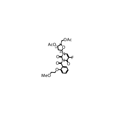 COCCOc1ccccc1C(=O)n1c(=O)c(F)cn([C@H]2C[C@H](OC(C)=O)[C@@H](COC(C)=O)O2)c1=O